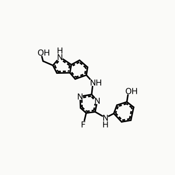 OCc1cc2cc(Nc3ncc(F)c(Nc4cccc(O)c4)n3)ccc2[nH]1